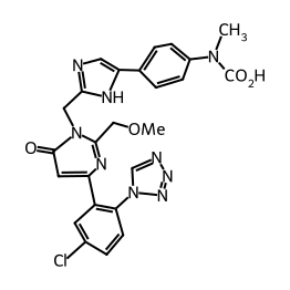 COCc1nc(-c2cc(Cl)ccc2-n2cnnn2)cc(=O)n1Cc1ncc(-c2ccc(N(C)C(=O)O)cc2)[nH]1